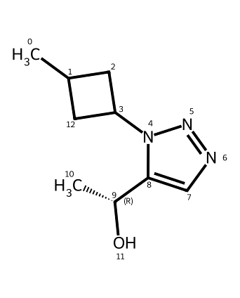 CC1CC(n2nncc2[C@@H](C)O)C1